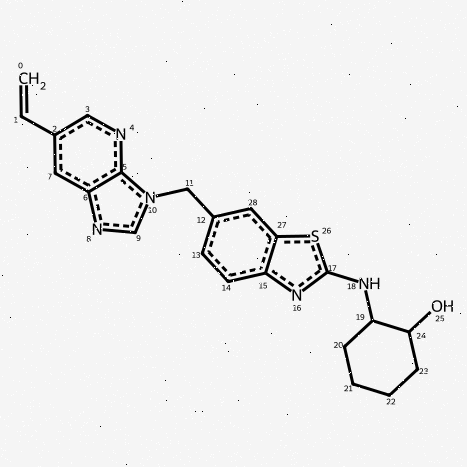 C=Cc1cnc2c(c1)ncn2Cc1ccc2nc(NC3CCCCC3O)sc2c1